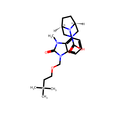 Cn1c(=O)n(COCC[Si](C)(C)C)c2cccc(N3[C@@H]4CC[C@H]3CN(C(=O)O)C4)c21